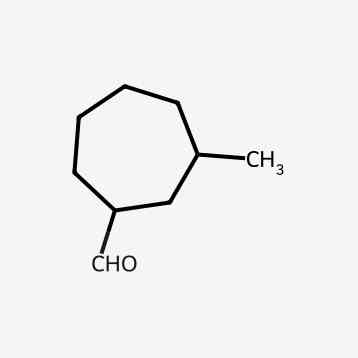 CC1CCCCC(C=O)C1